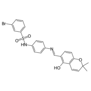 CC1(C)C=Cc2c(ccc(C=Nc3ccc(NS(=O)(=O)c4cccc(Br)c4)cc3)c2O)O1